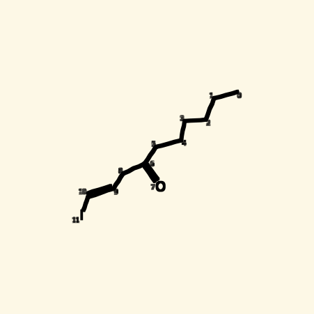 CCCCCCC(=O)C/C=C/I